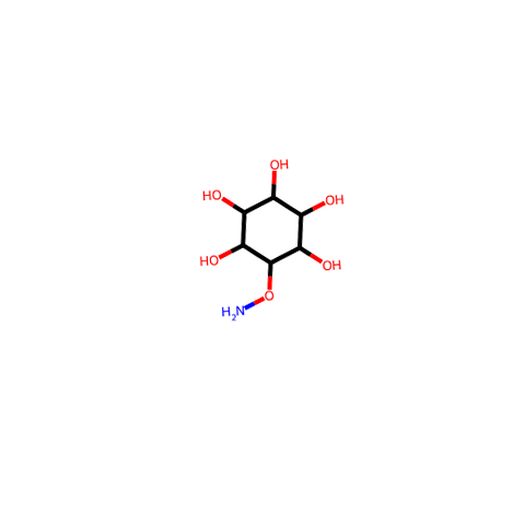 NOC1C(O)C(O)C(O)C(O)C1O